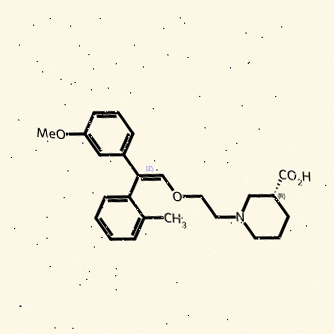 COc1cccc(/C(=C/OCCN2CCC[C@@H](C(=O)O)C2)c2ccccc2C)c1